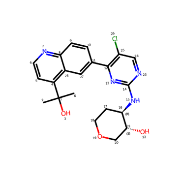 CC(C)(O)c1ccnc2ccc(-c3nc(N[C@@H]4CCOC[C@H]4O)ncc3Cl)cc12